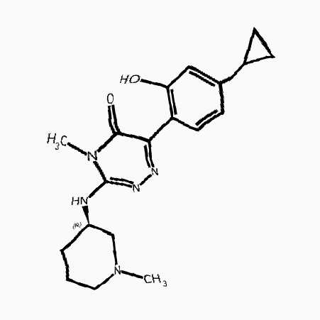 CN1CCC[C@@H](Nc2nnc(-c3ccc(C4CC4)cc3O)c(=O)n2C)C1